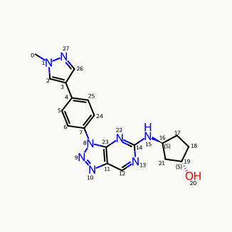 Cn1cc(-c2ccc(-n3nnc4cnc(N[C@H]5CC[C@H](O)C5)nc43)cc2)cn1